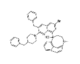 CN1CCC(O)(c2cc(Br)cc3cc(Cc4ccccc4)c(N4CCC(Cc5ccccc5)CC4)nc23)c2cccc3ccc1cc23